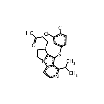 CC(C)c1nccc2c1c(Sc1ccc(Cl)c(Cl)c1)c1n2CC[C@H]1CCC(=O)O